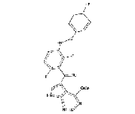 CCCC1C=CC(SNc2ccc(F)c(C(=O)c3c[nH]c4ncnc(OC)c34)c2F)=CC1